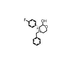 OC1OCCN(Cc2ccccc2)[C@@H]1c1ccc(F)cc1